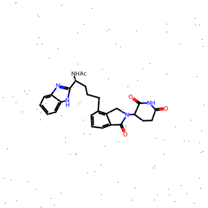 CC(=O)N[C@@H](CCCc1cccc2c1CN(C1CCC(=O)NC1=O)C2=O)c1nc2ccccc2[nH]1